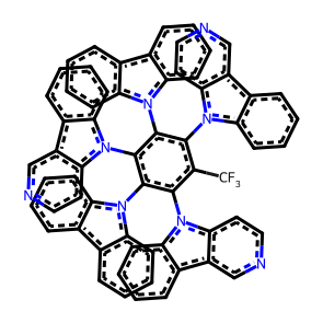 FC(F)(F)c1c(-n2c3ccccc3c3cnccc32)c(-n2c3ccccc3c3ccccc32)c(-n2c3ccccc3c3cnccc32)c(-n2c3ccccc3c3ccccc32)c1-n1c2ccccc2c2cnccc21